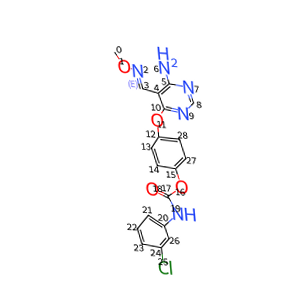 CO/N=C/c1c(N)ncnc1Oc1ccc(OC(=O)Nc2cccc(Cl)c2)cc1